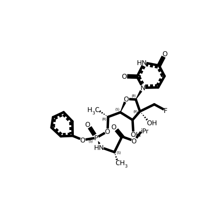 CC(C)OC(=O)[C@H](C)N[P@@](=O)(Oc1ccccc1)O[C@H](C)[C@H]1O[C@@H](n2ccc(=O)[nH]c2=O)[C@@](O)(CF)C1O